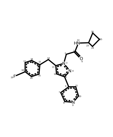 O=C(Cn1nc(-c2ccncc2)cc1Cc1ccc(F)cc1)NC1CCC1